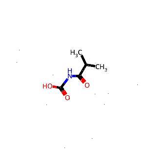 CC(C)C(=O)NC(=O)O